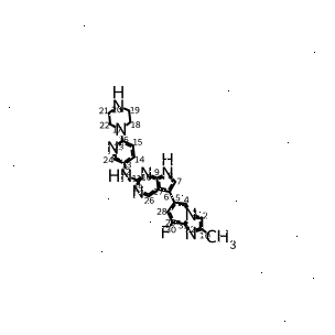 Cc1cn2cc(-c3c[nH]c4nc(Nc5ccc(N6CCNCC6)nc5)ncc34)cc(F)c2n1